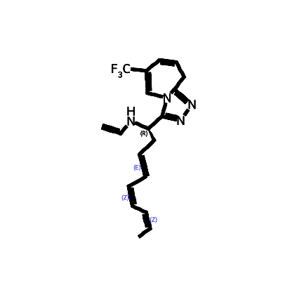 C=CN[C@H](C/C=C/C=C\C=C/C)c1nnc2n1C=C(C(F)(F)F)C=CC2